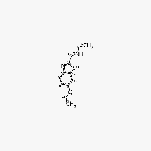 CCNSc1nc2ccc(OCC)cc2s1